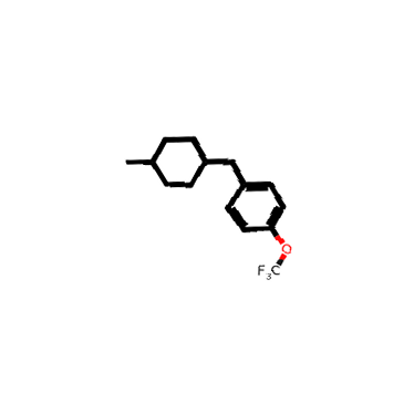 CC1CCC(Cc2ccc(OC(F)(F)F)cc2)CC1